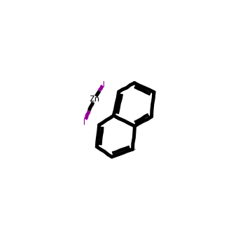 [I][Zn][I].[c]1cccc2ccccc12